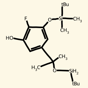 CC(C)(C)[SiH2]OC(C)(C)c1cc(O)c(F)c(O[Si](C)(C)C(C)(C)C)c1